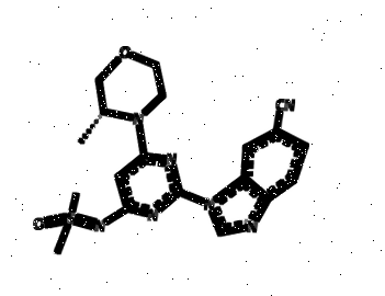 C[C@@H]1COCCN1c1cc(N=S(C)(C)=O)nc(-n2cnc3ccc(C#N)cc32)n1